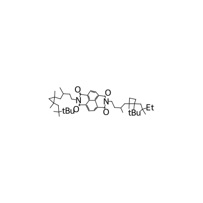 CCC(C)(CC1(C)CCC1(C)CC(C)CCN1C(=O)c2ccc3c4c(ccc(c24)C1=O)C(=O)N(CCC(C)CC1(C)CC1(C)CC(C)(C)C(C)(C)C)C3=O)C(C)(C)C